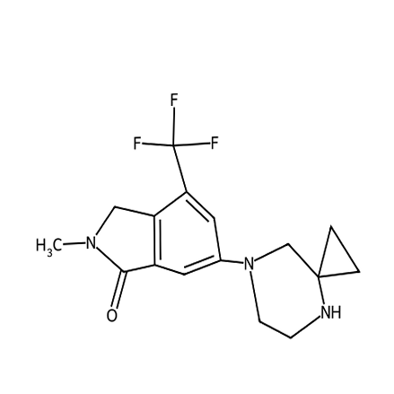 CN1Cc2c(cc(N3CCNC4(CC4)C3)cc2C(F)(F)F)C1=O